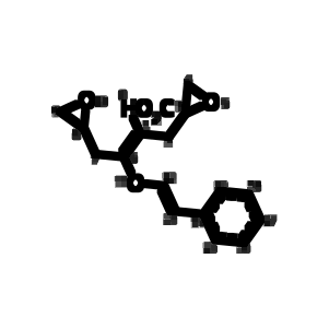 O=C(O)C(CC1CO1)=C(CC1CO1)OC=Cc1ccccc1